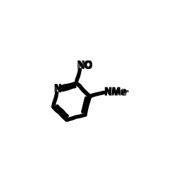 C[N]c1cccnc1N=O